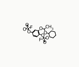 CC(Oc1cc(OS(=O)(=O)F)ccc1OS(=O)(=O)F)OC1CCCCC1